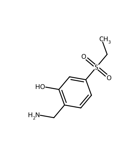 CCS(=O)(=O)c1ccc(CN)c(O)c1